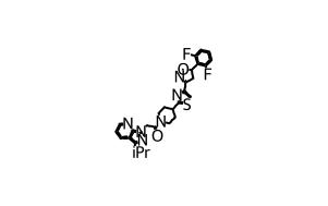 CC(C)c1nn(CC(=O)N2CCC(c3nc(C4=NOC(c5c(F)cccc5F)C4)cs3)CC2)c2ncccc12